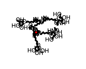 CC(=O)N[C@H]1[C@H](OCCCCCn2cc(CN(CCCC[C@H](C(=O)C(C)(C)C)N(Cc3cn(CCCCCO[C@@H]4O[C@H](CO)[C@H](O)[C@H](O)[C@H]4C)nn3)Cc3cn(CCCCCO[C@@H]4O[C@H](CO)[C@H](O)[C@H](O)[C@H]4NC(C)=O)nn3)Cc3cn(CCCCCO[C@@H]4O[C@H](CO)[C@H](O)[C@H](O)[C@H]4C)nn3)nn2)O[C@H](CO)[C@H](O)[C@@H]1O